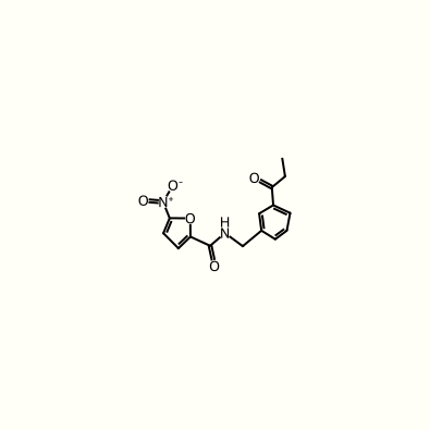 CCC(=O)c1cccc(CNC(=O)c2ccc([N+](=O)[O-])o2)c1